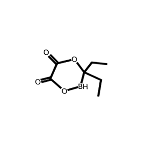 CCC1(CC)BOC(=O)C(=O)O1